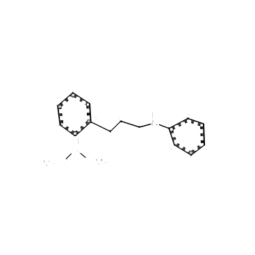 CO[SiH](OC)c1ccccc1CCCNc1ccccc1